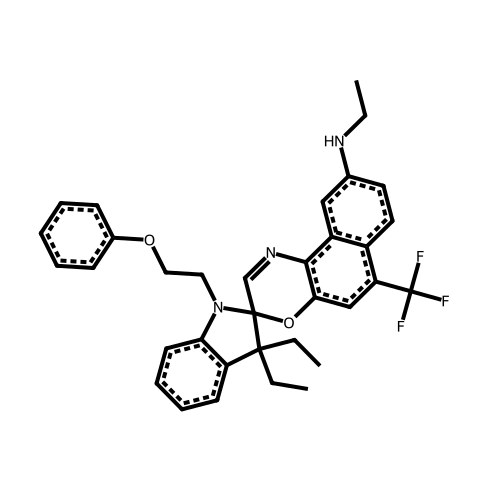 CCNc1ccc2c(C(F)(F)F)cc3c(c2c1)N=CC1(O3)N(CCOc2ccccc2)c2ccccc2C1(CC)CC